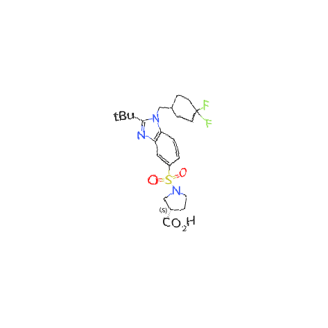 CC(C)(C)c1nc2cc(S(=O)(=O)N3CC[C@H](C(=O)O)C3)ccc2n1CC1CCC(F)(F)CC1